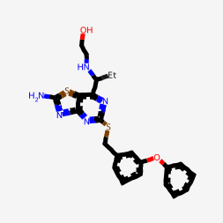 CCC(NCCO)c1nc(SCc2cccc(Oc3ccccc3)c2)nc2nc(N)sc12